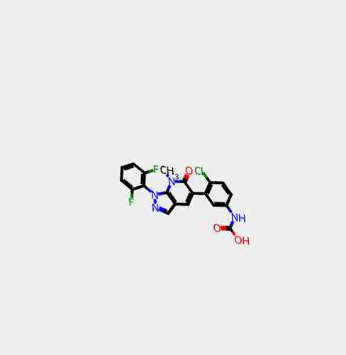 Cn1c(=O)c(-c2cc(NC(=O)O)ccc2Cl)cc2cnn(-c3c(F)cccc3F)c21